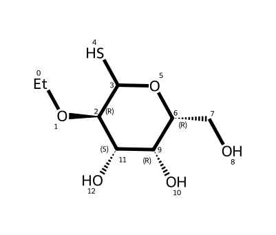 CCO[C@H]1C(S)O[C@H](CO)[C@H](O)[C@@H]1O